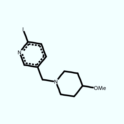 COC1CCN(Cc2ccc(I)nc2)CC1